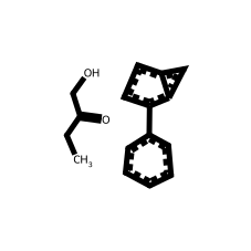 CCC(=O)CO.c1ccc(-c2ccc3cc2-3)cc1